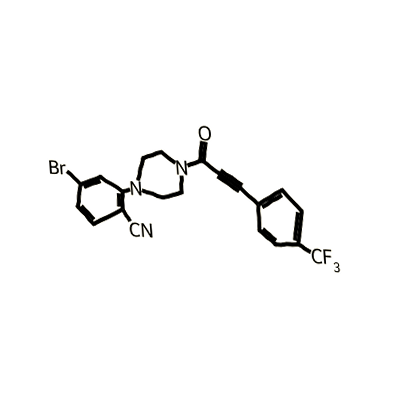 N#Cc1ccc(Br)cc1N1CCN(C(=O)C#Cc2ccc(C(F)(F)F)cc2)CC1